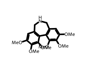 COc1cc2c(c(OC)c1OC)-c1c(cc(OC)c(OC)c1OC)CNC2